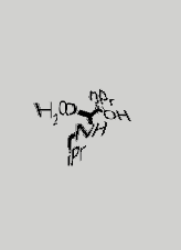 CCC[C@H](O)C(=O)NCC(C)C.O